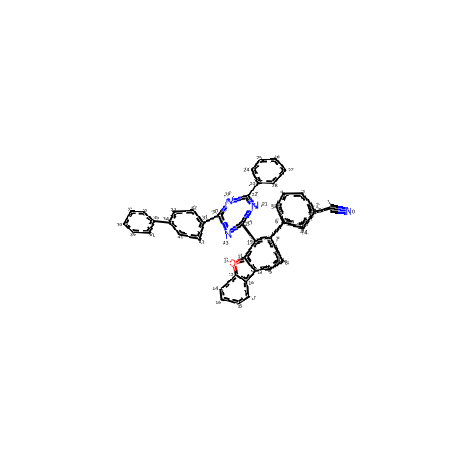 N#Cc1cccc(-c2ccc3c(oc4ccccc43)c2-c2nc(-c3ccccc3)nc(-c3ccc(-c4ccccc4)cc3)n2)c1